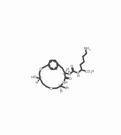 CC(C)[C@H]1COCC[C@H](O)COc2ccc(cc2)C[C@@H](NC(=O)NC(CCCCN)C(=O)O)C(=O)N1